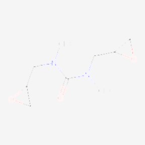 O=CN(CC1CO1)C(=O)N(C=O)CC1CO1